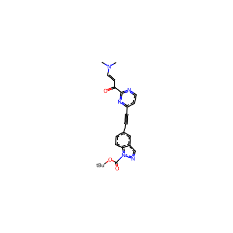 CN(C)C=CC(=O)c1nccc(C#Cc2ccc3c(cnn3C(=O)OC(C)(C)C)c2)n1